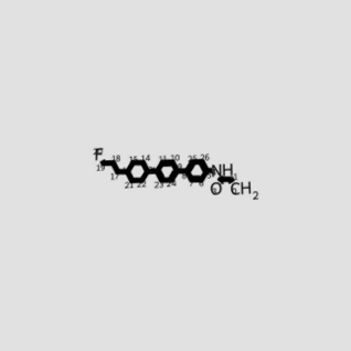 C=CC(=O)Nc1ccc(-c2ccc(C3CCC(CCCF)CC3)cc2)cc1